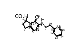 O=C(O)[C@@H]1CCc2cnc(NCCc3ccccn3)c(=O)n21